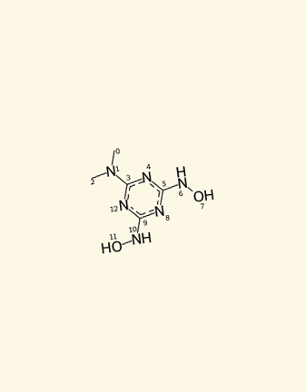 CN(C)c1nc(NO)nc(NO)n1